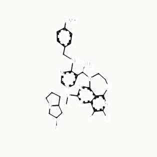 COc1ccc(CNc2ncncc2[C@@H](C)N2CCOc3nc(Cl)c(F)c4nc(OC[C@@]56CCCN5C[C@H](F)C6)nc2c34)cc1